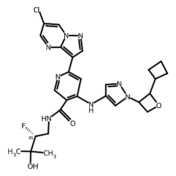 CC(C)(O)[C@H](F)CNC(=O)c1cnc(-c2cnn3cc(Cl)cnc23)cc1Nc1cnn(C2COC2C2CCC2)c1